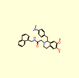 COc1cc2c(cc1OC)C(Cc1ccc(N(C)C)cc1)N(CC(=O)NCc1cccc3ccccc13)CC2